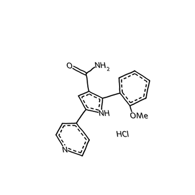 COc1ccccc1-c1[nH]c(-c2ccncc2)cc1C(N)=O.Cl